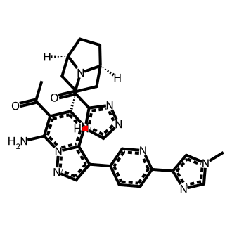 CC(=O)c1c([C@@H]2C[C@H]3CC[C@@H](C2)N3C(=O)c2nnc[nH]2)nc2c(-c3ccc(-c4cn(C)cn4)nc3)cnn2c1N